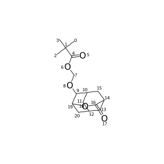 CC(C)(C)C(=O)OCOC1C2CC3CC(C2)C(=O)OC1C3